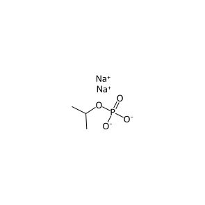 CC(C)OP(=O)([O-])[O-].[Na+].[Na+]